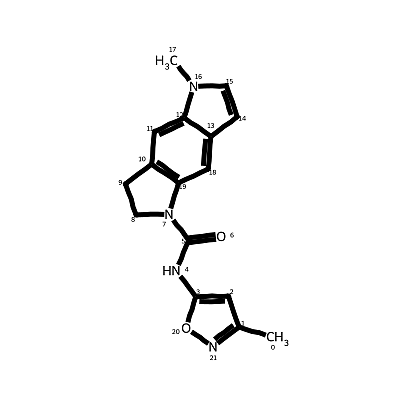 Cc1cc(NC(=O)N2CCc3cc4c(ccn4C)cc32)on1